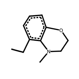 CCc1cccc2c1N(C)CCO2